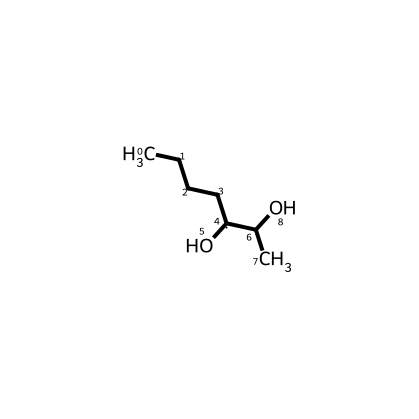 CCCC[C](O)C(C)O